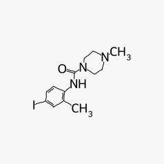 Cc1cc(I)ccc1NC(=O)N1CCN(C)CC1